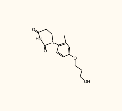 Cc1cc(OCCCO)ccc1N1CCC(=O)NC1=O